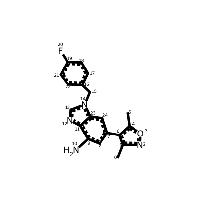 Cc1noc(C)c1-c1cc(N)c2ncn(Cc3ccc(F)cc3)c2c1